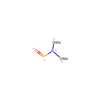 CON(OC)P=O